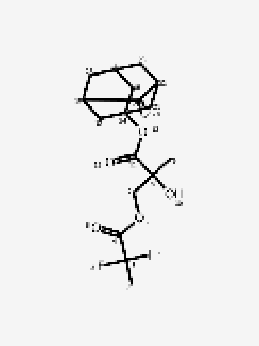 CC(F)(F)C(=O)OCC(C)(O)C(=O)OC12CC3CC(C1)C(=O)C(C3)C2